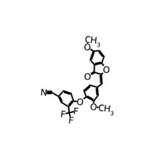 COc1ccc2c(c1)C(=O)C(=Cc1ccc(Oc3ccc(C#N)cc3C(F)(F)F)c(OC)c1)O2